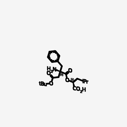 CC(C)C[C@H](OC(=O)[C@](N)(CC(=O)OC(C)(C)C)Cc1ccccc1)C(=O)O